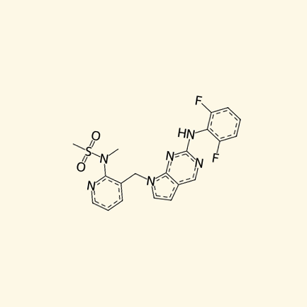 CN(c1ncccc1Cn1ccc2cnc(Nc3c(F)cccc3F)nc21)S(C)(=O)=O